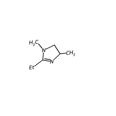 CCC1=NC(C)CN1C